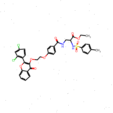 CCOC(=O)C(CNC(=O)c1ccc(OCCOc2c(-c3ccc(Cl)cc3Cl)oc3ccccc3c2=O)cc1)NS(=O)(=O)c1ccc(C)cc1